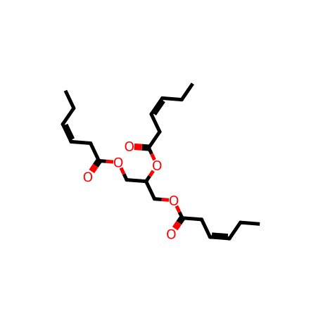 CC/C=C\CC(=O)OCC(COC(=O)C/C=C\CC)OC(=O)C/C=C\CC